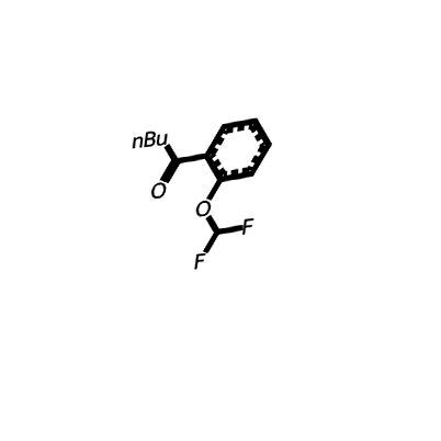 CCCCC(=O)c1ccccc1OC(F)F